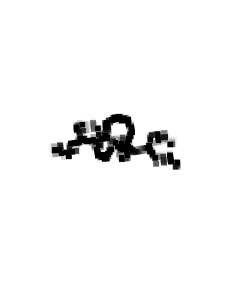 CC(C)CC1CC=CC=C2N(C(C)C)C=C[N+]21[O-]